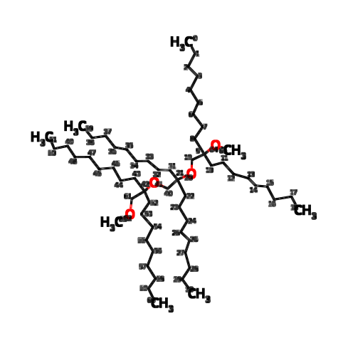 CCCCCCCCCC(CCCCCCCCC)(COC(CCCCCCCCC)(CCCCCCCCC)COC(CCCCCCCCC)(CCCCCCCCC)COC)OC